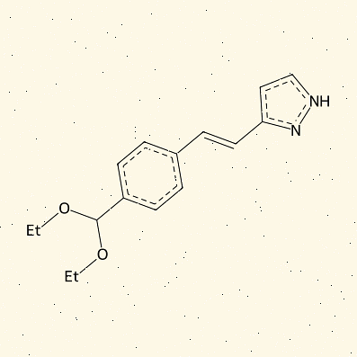 CCOC(OCC)c1ccc(C=Cc2cc[nH]n2)cc1